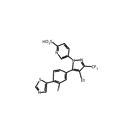 CCc1c(C(F)(F)F)nn(-c2ccc(S(=O)(=O)O)nc2)c1-c1ccc(-c2cncs2)c(F)c1